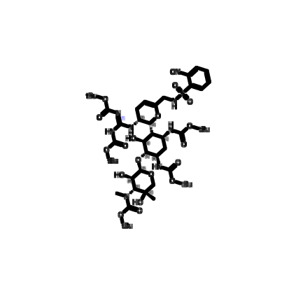 CN(C(=O)OC(C)(C)C)[C@@H]1[C@@H](O)[C@@H](O[C@H]2[C@H](NC(=O)OC(C)(C)C)C[C@H](NC(=O)OC(C)(C)C)C([C@H]3OC(CNS(=O)(=O)c4ccccc4N=O)=CC[C@H]3N/C(=N/C(=O)OC(C)(C)C)NC(=O)OC(C)(C)C)[C@@H]2O)OC[C@]1(C)O